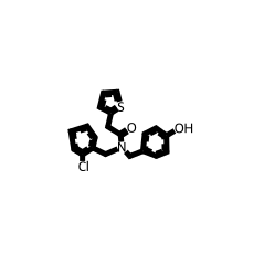 O=C(Cc1cccs1)N(Cc1ccc(O)cc1)Cc1ccccc1Cl